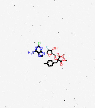 COC(=O)C(Cc1ccc(C)cc1)(OC[C@H]1O[C@@H](n2cnc3c(N)nc(Cl)nc32)[C@@H](F)[C@@H]1O)C(=O)OC